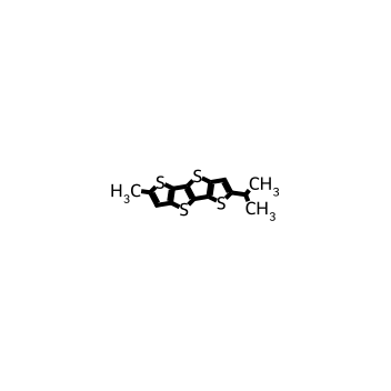 Cc1cc2sc3c4sc(C(C)C)cc4sc3c2s1